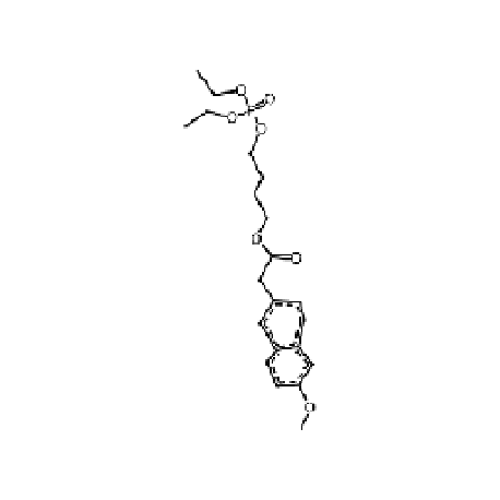 CCOP(=O)(OCC)OCCCCOC(=O)Cc1ccc2cc(OC)ccc2c1